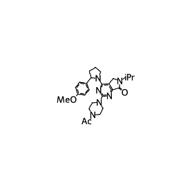 COc1ccc(C2CCCN2c2nc(N3CCN(C(C)=O)CC3)nc3c2CN(C(C)C)C3=O)cc1